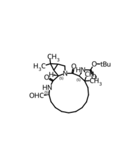 CC(C)(C)OC(=O)N[C@@H]1C(=O)N2CC3C([C@H]2C(=O)N[C@H](C=O)CCCCCCCCCC1(C)C)C3(C)C